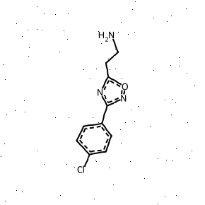 NCCc1nc(-c2ccc(Cl)cc2)no1